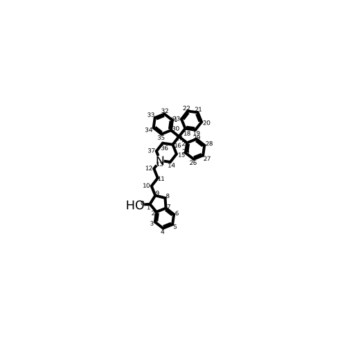 OC1c2ccccc2CC1CCCN1CCC(C(c2ccccc2)(c2ccccc2)c2ccccc2)CC1